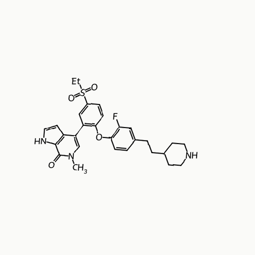 CCS(=O)(=O)c1ccc(Oc2ccc(CCC3CCNCC3)cc2F)c(-c2cn(C)c(=O)c3[nH]ccc23)c1